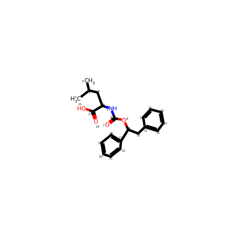 CC(C)CC(NC(=O)OC(Cc1ccccc1)c1ccccc1)C(=O)O